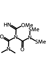 COC(=N)N(C(=O)N(C)C)C(=O)N(SC)SC